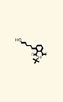 CC(C)(C)OC(=O)c1c(CCCCCO)cccc1C(F)F